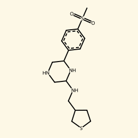 CS(=O)(=O)c1ccc(C2CNCC(NCC3CCSC3)N2)cc1